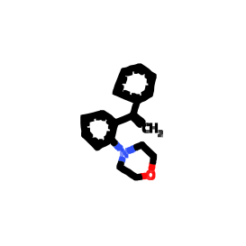 C=C(c1ccccc1)c1ccccc1N1CCOCC1